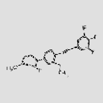 CCc1cc(-c2ccc(C)cc2F)ccc1C#Cc1cc(F)c(F)c(F)c1